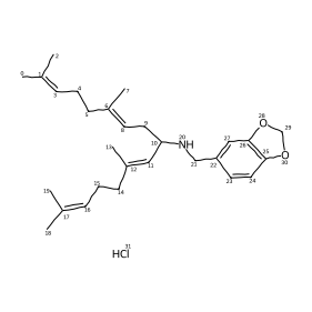 CC(C)=CCC/C(C)=C/CC(/C=C(\C)CCC=C(C)C)NCc1ccc2c(c1)OCO2.Cl